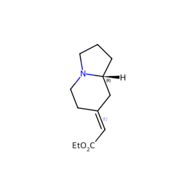 CCOC(=O)/C=C1\CCN2CCC[C@@H]2C1